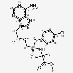 COC(=O)C(C)(C)NP(=O)(CO[C@H](C)Cn1cnc2c(N)ncnc21)Oc1ccc(Cl)cc1